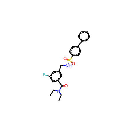 CCN(CC)C(=O)c1cc(F)cc(CNS(=O)(=O)c2ccc(-c3ccccc3)cc2)c1